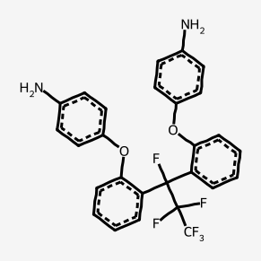 Nc1ccc(Oc2ccccc2C(F)(c2ccccc2Oc2ccc(N)cc2)C(F)(F)C(F)(F)F)cc1